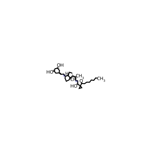 CCCCCCCC(=O)C1([C@@H](O)/C=C/[C@@H](C)[C@H]2CC[C@H]3/C(=C/C=C4C[C@@H](O)C[C@H](O)C4)CCC[C@]23C)CC1